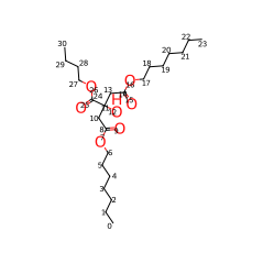 CCCCCCCOC(=O)CC(O)(CC(=O)OCCCCCCC)C(=O)OCCCC